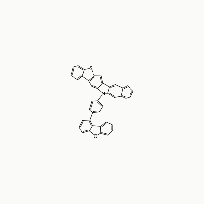 c1ccc2cc3c(cc2c1)c1cc2sc4ccccc4c2cc1n3-c1ccc(-c2cccc3oc4ccccc4c23)cc1